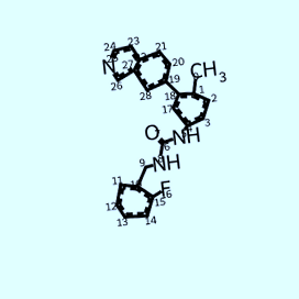 Cc1ccc(NC(=O)NCc2ccccc2F)cc1-c1ccc2ccncc2c1